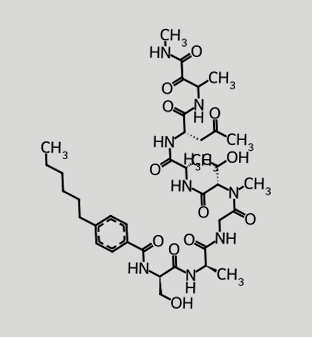 CCCCCCc1ccc(C(=O)N[C@H](CO)C(=O)N[C@H](C)C(=O)NCC(=O)N(C)[C@H](C(=O)N[C@@H](C)C(=O)N[C@@H](CC(C)=O)C(=O)NC(C)C(=O)C(=O)NC)C(C)O)cc1